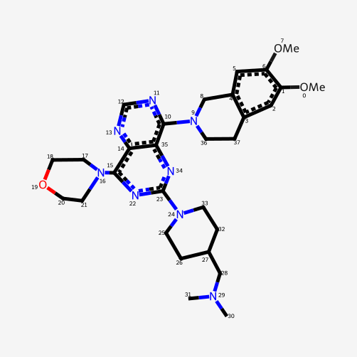 COc1cc2c(cc1OC)CN(c1ncnc3c(N4CCOCC4)nc(N4CCC(CN(C)C)CC4)nc13)CC2